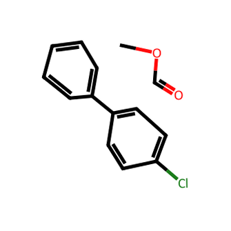 COC=O.Clc1ccc(-c2ccccc2)cc1